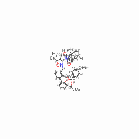 CC[C@@H]1ON(Cc2cccc(-c3cccc(C(=O)NC)c3OCc3ccc(OC)cc3)c2OC)[C@H](C(=O)N[C@H]2C[C@H]3C[C@@H]([C@@H]2C)C3(C)C)[C@@H]1[C@H](C)O